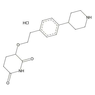 Cl.O=C1CCC(OCCc2ccc(C3CCNCC3)cc2)C(=O)N1